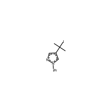 CC(C)n1cc(C(C)(C)I)cn1